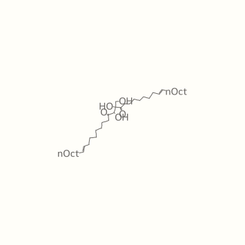 CCCCCCCCC=CCCCCCCCC(=O)C(O)C(O)(CO)C(=O)CCCCCCCC=CCCCCCCCC